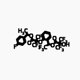 CC(OC(=O)C(Oc1ccccc1C(OC(=O)C(O)(C(F)(F)F)C(F)(F)F)C(F)(F)F)(C(F)(F)F)C(F)(F)F)c1ccc(F)cc1